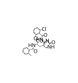 Cc1ccccc1C(=O)NC(Cc1c[nH]c(=O)nc1NC(=O)c1c(Cl)cccc1Cl)C(=O)O